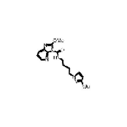 COc1nc2cccnc2n1C(=O)NCCCCn1ccc(C(C)(C)C)n1